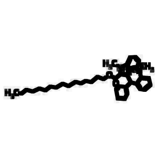 CCCCCCCCCCCCCCCCOC(=O)c1c(C(c2ccccc2)c2ccccc2N(C)C)c2ccccc2n1C